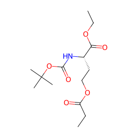 CCOC(=O)[C@H](CCOC(=O)CC)NC(=O)OC(C)(C)C